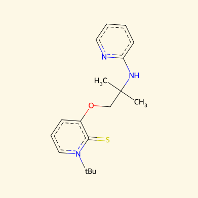 CC(C)(COc1cccn(C(C)(C)C)c1=S)Nc1ccccn1